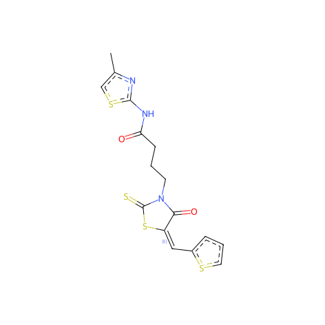 Cc1csc(NC(=O)CCCN2C(=O)/C(=C\c3cccs3)SC2=S)n1